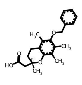 Cc1c(C)c2c(c(C)c1OCc1ccccc1)CC[C@@](C)(CC(=O)O)O2